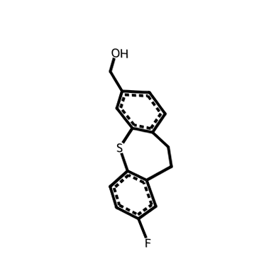 OCc1ccc2c(c1)Sc1ccc(F)cc1CC2